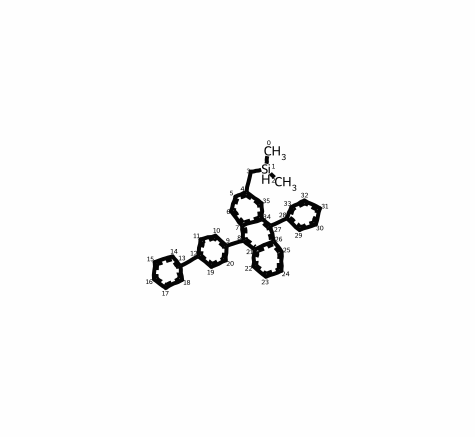 C[SiH](C)Cc1ccc2c(-c3ccc(-c4ccccc4)cc3)c3ccccc3c(-c3ccccc3)c2c1